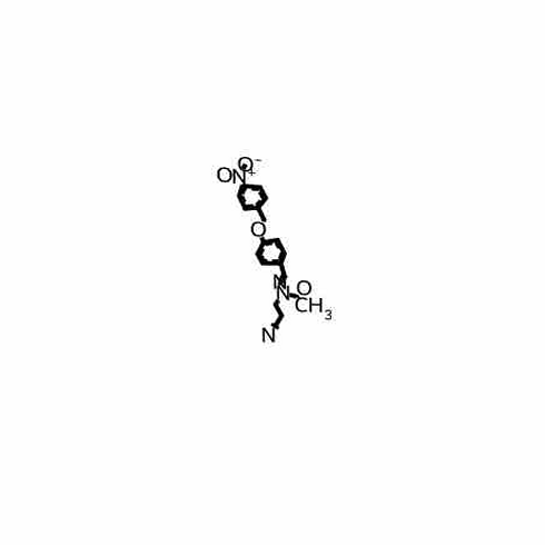 CC(=O)N(CCC#N)N=Cc1ccc(OCc2ccc([N+](=O)[O-])cc2)cc1